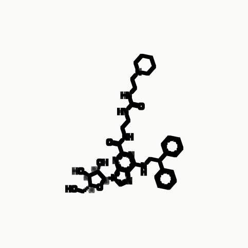 O=C(NCCNC(=O)c1nc(NCC(c2ccccc2)c2ccccc2)c2ncn([C@@H]3O[C@H](CO)[C@@H](O)[C@@H]3O)c2n1)NCCN1CCCCC1